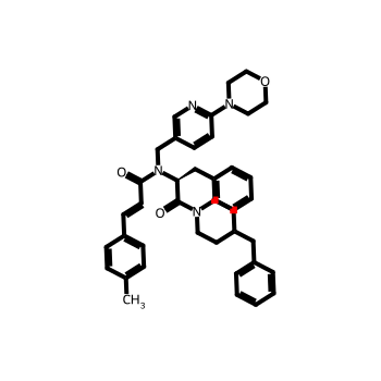 Cc1ccc(C=CC(=O)N(Cc2ccc(N3CCOCC3)nc2)[C@@H](Cc2ccccc2)C(=O)N2CCC(Cc3ccccc3)CC2)cc1